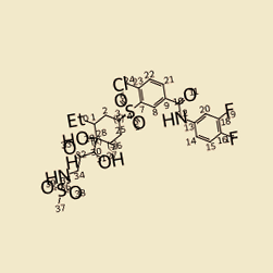 CCC1C[C@@H](S(=O)(=O)c2cc(C(=O)Nc3ccc(F)c(F)c3)ccc2Cl)C[C@H](C)[C@]1(O)C(O)C(O)CNS(C)(=O)=O